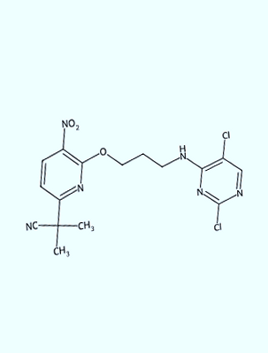 CC(C)(C#N)c1ccc([N+](=O)[O-])c(OCCCNc2nc(Cl)ncc2Cl)n1